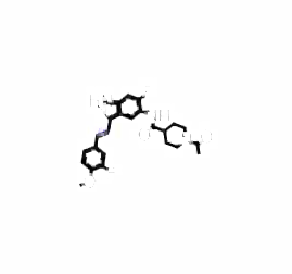 COc1ccc(/C=C/c2n[nH]c3cc(F)c(NC(=O)C4CCN(C(C)=O)CC4)cc23)cc1F